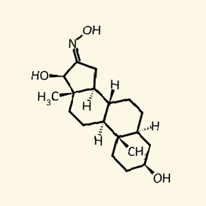 C[C@]12CC[C@H](O)C[C@@H]1CC[C@@H]1[C@@H]2CC[C@]2(C)[C@@H](O)C(=NO)C[C@@H]12